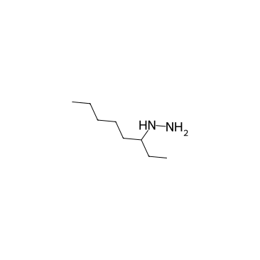 CCCCCC(CC)NN